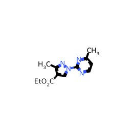 CCOC(=O)c1cn(-c2nccc(C)n2)nc1C